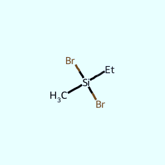 CC[Si](C)(Br)Br